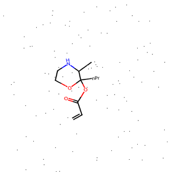 C=CC(=O)OC1(CCC)OCCNC1C